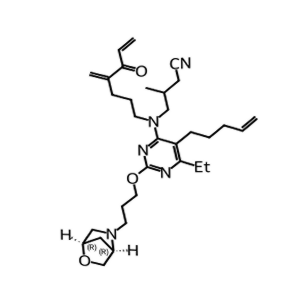 C=CCCCc1c(CC)nc(OCCCN2C[C@H]3C[C@@H]2CO3)nc1N(CCCC(=C)C(=O)C=C)CC(C)CC#N